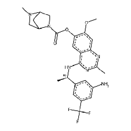 COc1cc2nc(C)nc(N[C@H](C)c3cc(N)cc(C(F)(F)F)c3)c2cc1OC(=O)N1CC2CC1CN2C